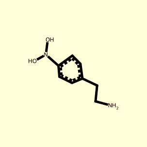 NCCc1ccc(N(O)O)cc1